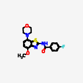 COc1ccc(N2CCOCC2)c2sc(NC(=O)c3ccc(F)cc3)nc12